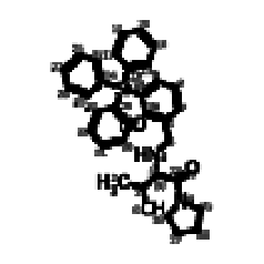 CC(C)[C@H](NCc1cccc([Si](c2ccccc2)(c2ccccc2)c2ccccc2)c1O)C(=O)N1CCCC1